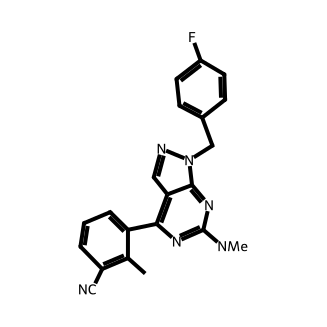 CNc1nc(-c2cccc(C#N)c2C)c2cnn(Cc3ccc(F)cc3)c2n1